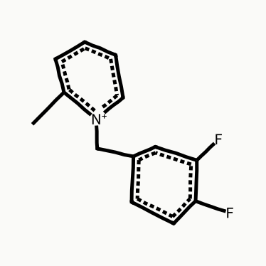 Cc1cccc[n+]1Cc1ccc(F)c(F)c1